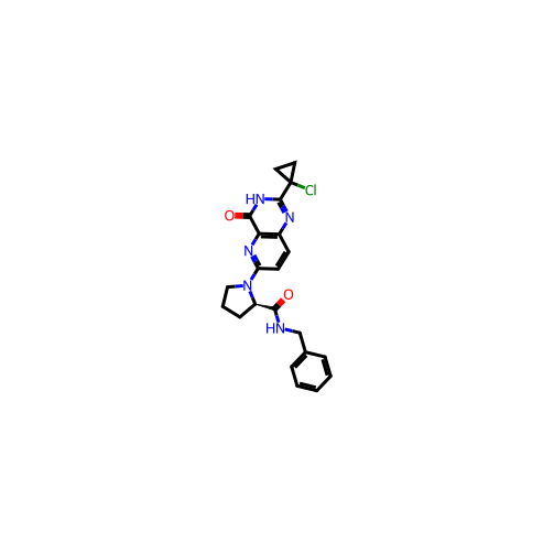 O=C(NCc1ccccc1)[C@H]1CCCN1c1ccc2nc(C3(Cl)CC3)[nH]c(=O)c2n1